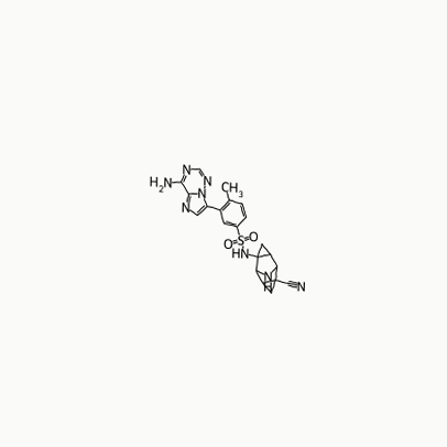 Cc1ccc(S(=O)(=O)NC23CC2C2NC3C3CC32C#N)cc1-c1cnc2c(N)ncnn12